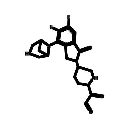 O=CC(=O)C1CCC(N2Cc3c(cc(F)c(F)c3N3C4CNCC3C4)C2=O)CN1